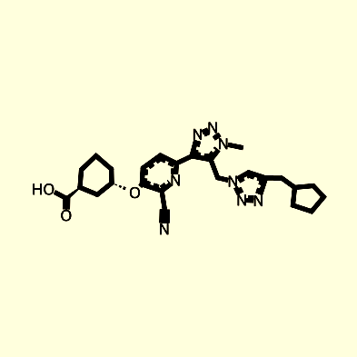 Cn1nnc(-c2ccc(O[C@H]3CCC[C@H](C(=O)O)C3)c(C#N)n2)c1Cn1cc(CC2CCCC2)nn1